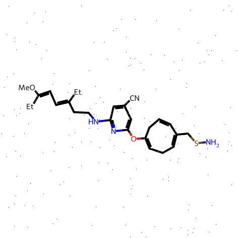 CC/C(=C\C=C(/CC)OC)CCNc1cc(C#N)cc(O/C2=C/C/C=C(CSN)\C=C/C2)n1